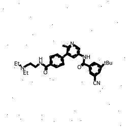 CCN(CC)CCNC(=O)c1ccc(-c2cc(NC(=O)c3cc(C#N)cc(C(C)(C)C)c3)cnc2C)cc1